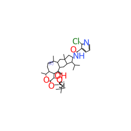 C=C1C2CC3C(C(C)C)C(NC(=O)c4cccnc4Cl)CC3(C)CC2/C(C)=C\CC2C(C)OC(=O)C(O[Si](C)(C)C(C)(C)C)C12O